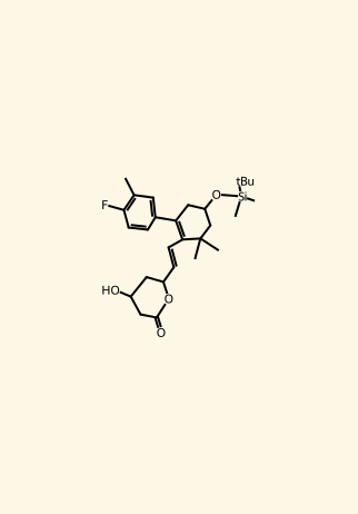 Cc1cc(C2=C(C=CC3CC(O)CC(=O)O3)C(C)(C)CC(O[Si](C)(C)C(C)(C)C)C2)ccc1F